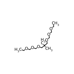 CCOCOCOCC(C)(C)COCOCOCC